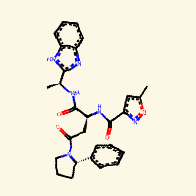 Cc1cc(C(=O)N[C@@H](CC(=O)N2CCC[C@H]2c2ccccc2)C(=O)N[C@@H](C)c2nc3ccccc3[nH]2)no1